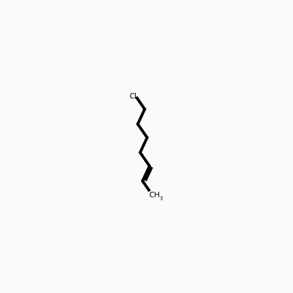 CC=CCCCCCl